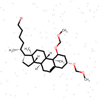 COCO[C@@H]1CC2=CC[C@H]3[C@@H]4CC[C@H]([C@H](C)CCCCBr)[C@@]4(C)CC[C@@H]3[C@@]2(C)[C@@H](OCOC)C1